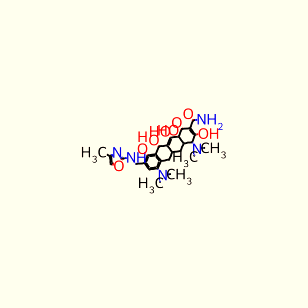 Cc1coc(NCc2cc(N(C)C)c3c(c2O)C(=O)C2=C(O)C4(O)C(=O)C(C(N)=O)=C(O)C(N(C)C)C4CC2C3)n1